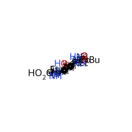 CCC(C(=N)C(=O)O)c1ncc(-c2ccc3c(c2)C(=O)c2cc(-c4cnc(C(CC)C(=N)C(=O)OC(C)(C)C)[nH]4)ccc2-3)[nH]1